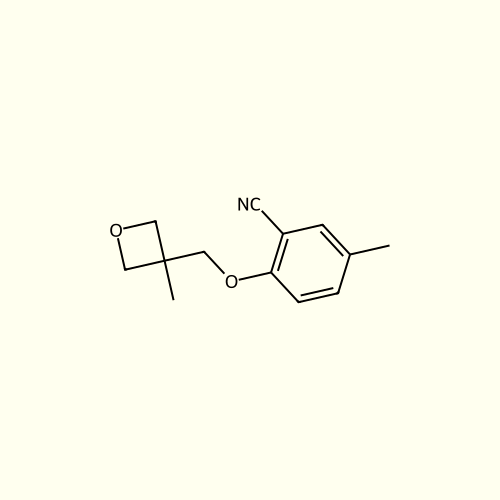 Cc1ccc(OCC2(C)COC2)c(C#N)c1